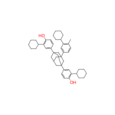 Cc1ccc(C23CC4CC(c5ccc(O)c(C6CCCCC6)c5)(C2)CC(c2ccc(O)c(C5CCCCC5)c2)(C4)C3)cc1C1CCCCC1